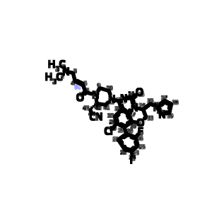 CN(C)C/C=C/C(=O)N1CCN(c2nc(=O)n3c4c(c(-c5ccc(F)cc5F)c(Cl)cc24)OCC3Cn2cccn2)C[C@@H]1CC#N